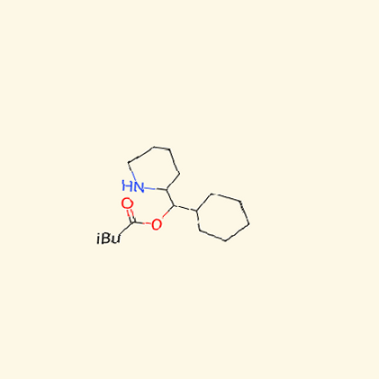 CCC(C)C(=O)OC(C1CCCCC1)C1CCCCN1